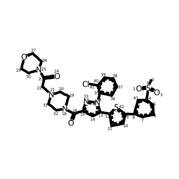 CS(=O)(=O)c1cccc(-c2ccc(-c3cc(C(=O)N4CCN(CC(=O)N5CCOCC5)CC4)nn3-c3ccccc3Cl)s2)c1